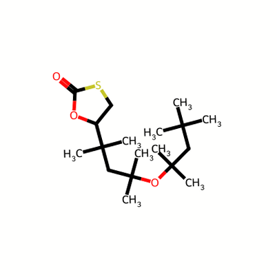 CC(C)(C)CC(C)(C)OC(C)(C)CC(C)(C)C1CSC(=O)O1